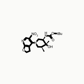 C[C@H]1CN(c2c([N+](=O)[O-])cnc3c2CCO3)C[C@@H](NC(=O)OC(C)(C)C)[C@]1(C)O